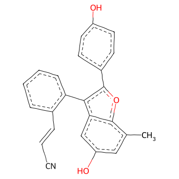 Cc1cc(O)cc2c(-c3ccccc3C=CC#N)c(-c3ccc(O)cc3)oc12